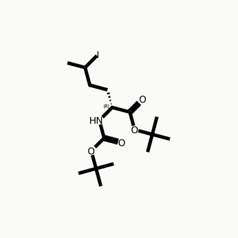 CC(I)CC[C@@H](NC(=O)OC(C)(C)C)C(=O)OC(C)(C)C